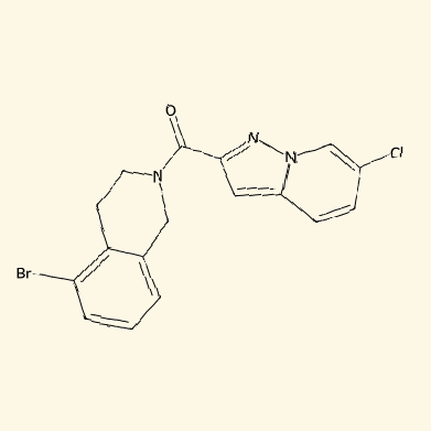 O=C(c1cc2ccc(Cl)cn2n1)N1CCc2c(Br)cccc2C1